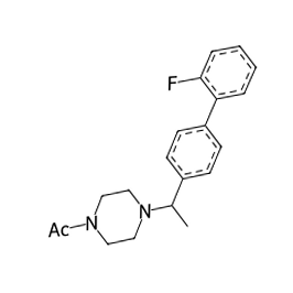 CC(=O)N1CCN(C(C)c2ccc(-c3ccccc3F)cc2)CC1